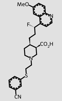 COc1ccc2nccc([C@@H](F)CC[C@@H]3CCN(CCSc4cccc(C#N)c4)C[C@@H]3C(=O)O)c2c1